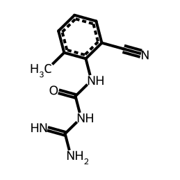 Cc1cccc(C#N)c1NC(=O)NC(=N)N